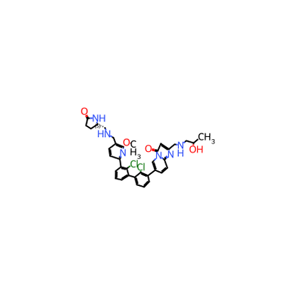 COc1nc(-c2cccc(-c3cccc(-c4ccc5nc(CNCC(C)O)cc(=O)n5c4)c3Cl)c2Cl)ccc1CNC[C@@H]1CCC(=O)N1